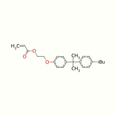 C=CC(=O)OCCOc1ccc(C(C)(C)c2ccc(C(C)CC)cc2)cc1